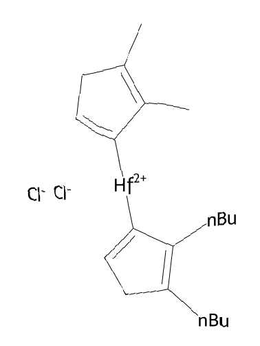 CCCCC1=C(CCCC)[C]([Hf+2][C]2=CCC(C)=C2C)=CC1.[Cl-].[Cl-]